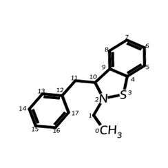 CCN1Sc2ccccc2C1Cc1ccccc1